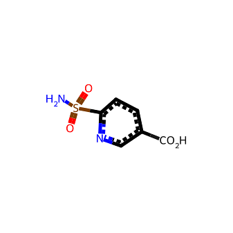 NS(=O)(=O)c1ccc(C(=O)O)cn1